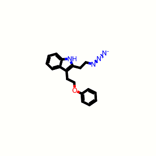 [N-]=[N+]=NCCc1[nH]c2ccccc2c1CCOc1ccccc1